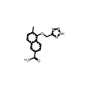 [CH2]c1ccc2cc(C(N)=O)ccc2c1OCc1nn[nH]n1